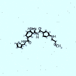 COCCNc1ccc(C(=O)Nc2n[nH]c3ccc(C(=O)NCc4cccs4)cc23)cc1